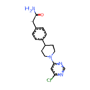 NC(=O)[CH]c1ccc(C2CCN(c3cc(Cl)ncn3)CC2)cc1